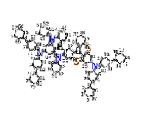 c1ccc(-c2ccc(N(c3ccc(-c4ccccc4)cc3)c3cc4c5c(c3)Sc3cc6c(cc3B5c3ccccc3S4)B3c4ccccc4N(c4ccccc4)c4cc(N(c5ccc(-c7ccccc7)cc5)c5ccc(-c7ccccc7)cc5)cc(c43)N6c3ccccc3)cc2)cc1